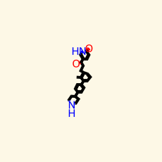 Cc1c(CCC(=O)c2ccc(=O)[nH]c2)cccc1-c1ccc(C2CCNCC2)cc1